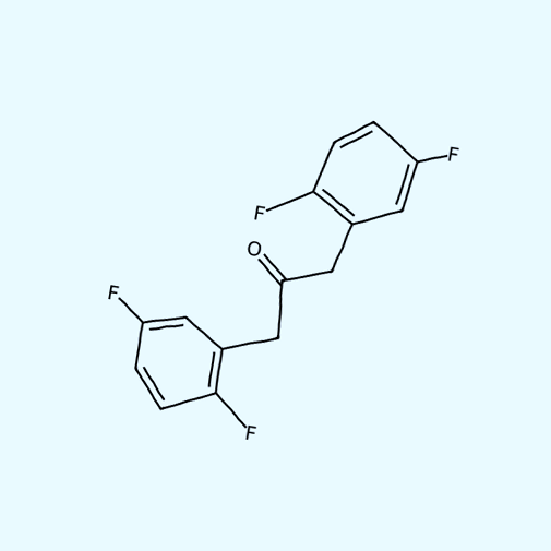 O=C(Cc1cc(F)ccc1F)Cc1cc(F)ccc1F